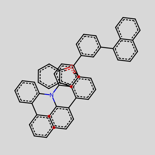 c1ccc(-c2ccccc2N(c2ccc(-c3cccc(-c4cccc5ccccc45)c3)cc2)c2ccccc2-c2cccc3oc4ccccc4c23)cc1